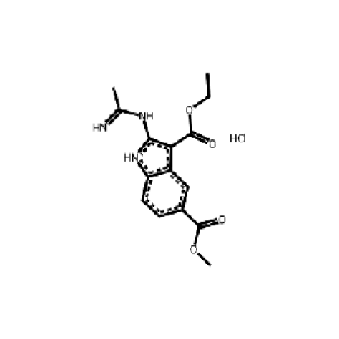 CCOC(=O)c1c(NC(C)=N)[nH]c2ccc(C(=O)OC)cc12.Cl